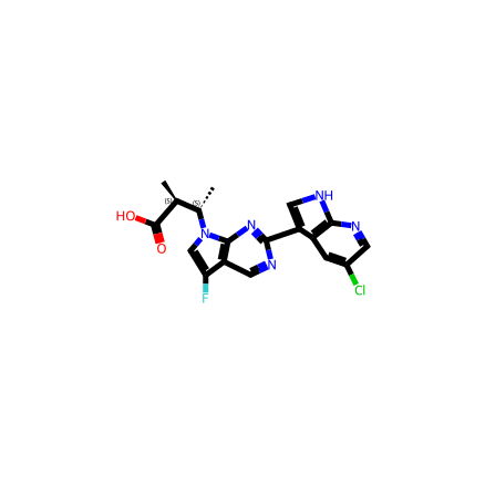 C[C@H](C(=O)O)[C@H](C)n1cc(F)c2cnc(-c3c[nH]c4ncc(Cl)cc34)nc21